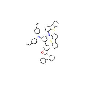 C=Cc1ccc(N(c2ccc(C=C)cc2)c2cc(-c3ccc4c(c3)oc3c5ccccc5c5ccccc5c43)cc(N(c3cccc4c3sc3ccccc34)c3cccc4c3sc3ccccc34)c2)cc1